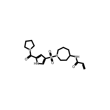 C=CC(=O)NC1CCCN(S(=O)(=O)c2c[nH]c(C(=O)N3CCCC3)c2)CC1